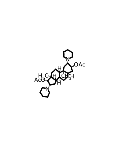 CC(=O)O[C@H]1C[C@@H]2CC[C@@H]3[C@H](CC[C@@]4(C)[C@H]3C[C@H](N3CCCCC3)[C@@H]4OC(C)=O)[C@@]2(C)C[C@@H]1N1CCCCC1